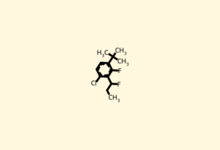 CCC(F)c1c(Cl)ccc(C(C)(C)C)c1F